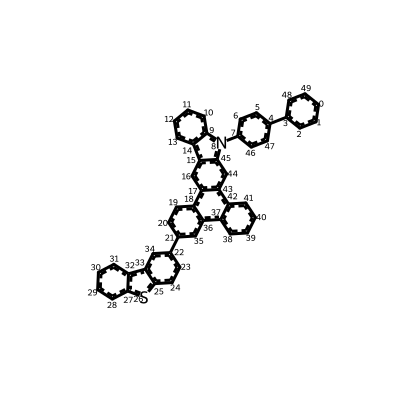 c1ccc(-c2ccc(-n3c4ccccc4c4cc5c6ccc(-c7ccc8sc9ccccc9c8c7)cc6c6ccccc6c5cc43)cc2)cc1